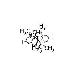 CC(C)c1cc(I)cc(C(C)C)c1N=Nc1c(C(C)C)cc(I)cc1C(C)C